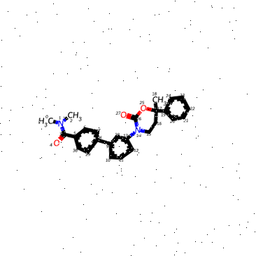 CN(C)C(=O)c1ccc(-c2cccc(N3CCC(C)(c4ccccc4)OC3=O)c2)cc1